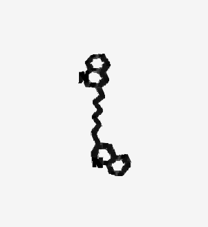 c1ccc2ncc(CCCCCCc3cnc4ccccc4c3)cc2c1